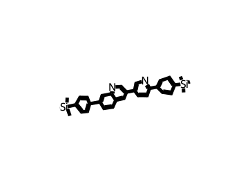 C[Si](C)(C)c1ccc(-c2ccc3cc(-c4ccc(-c5ccc([Si](C)(C)C)cc5)nc4)cnc3c2)cc1